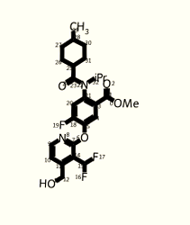 COC(=O)c1cc(Oc2nccc(CO)c2C(F)F)c(F)cc1N(C(=O)C1CCC(C)CC1)C(C)C